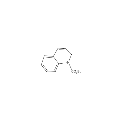 CCOC(=O)N1CC=Cc2ccccc21